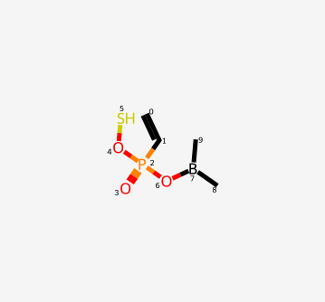 C=CP(=O)(OS)OB(C)C